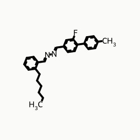 CCCCCCc1ccccc1C=NN=Cc1ccc(-c2ccc(C)cc2)c(F)c1